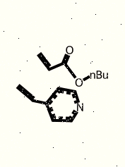 C=CC(=O)OCCCC.C=Cc1ccncc1